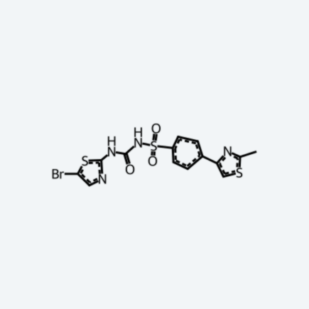 Cc1nc(-c2ccc(S(=O)(=O)NC(=O)Nc3ncc(Br)s3)cc2)cs1